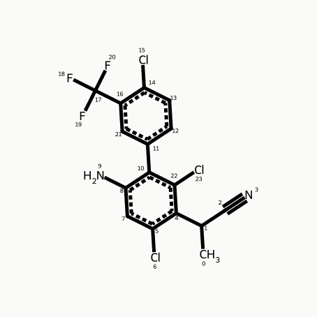 CC(C#N)c1c(Cl)cc(N)c(-c2ccc(Cl)c(C(F)(F)F)c2)c1Cl